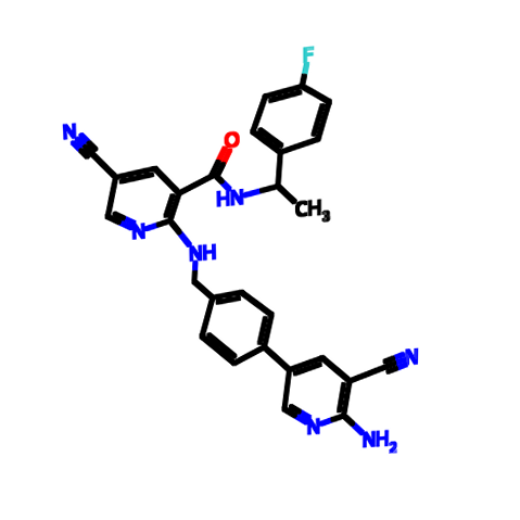 CC(NC(=O)c1cc(C#N)cnc1NCc1ccc(-c2cnc(N)c(C#N)c2)cc1)c1ccc(F)cc1